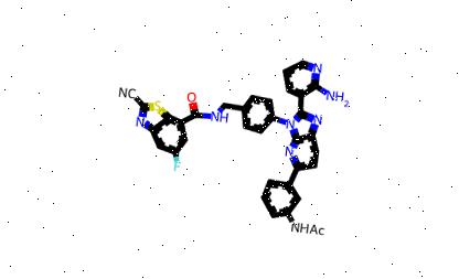 CC(=O)Nc1cccc(-c2ccc3nc(-c4cccnc4N)n(-c4ccc(CNC(=O)c5cc(F)cc6nc(C#N)sc56)cc4)c3n2)c1